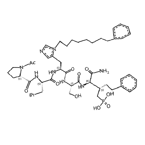 CC(=O)N1CCC[C@H]1C(=O)N[C@@H](CC(C)C)C(=O)N[C@@H](Cc1cncn1CCCCCCCCc1ccccc1)C(=O)N[C@@H](CO)C(=O)N[C@@H](C(N)=O)[C@H](CCc1ccccc1)CP(=O)(O)O